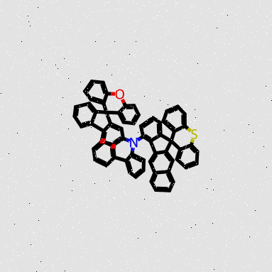 c1ccc(-c2ccccc2N(c2ccc3c(c2)C2(c4ccccc4Oc4ccccc42)c2ccccc2-3)c2cccc3c2-c2cc4ccccc4cc2C32c3ccccc3Sc3ccccc32)cc1